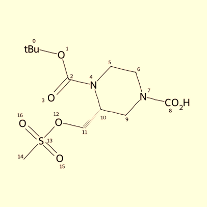 CC(C)(C)OC(=O)N1CCN(C(=O)O)C[C@@H]1COS(C)(=O)=O